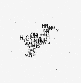 CC(C)[C@H](NC(=O)[C@@H](N)CCCNC(=N)N)C(=O)N(C(=O)CO)[C@H]([C]=O)Cc1ccc(O)cc1